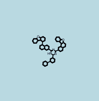 c1ccc(-c2cccc(C3N=C(c4ccc5ccc6oc7ccccc7c6c5c4)N=C(c4ccc5c(-c6cccc7oc8ccccc8c67)cccc5c4)N3)c2)cc1